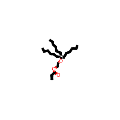 C=CC(=O)OCCO[Si](CCCCCC)(CCCCCC)CCCCCC